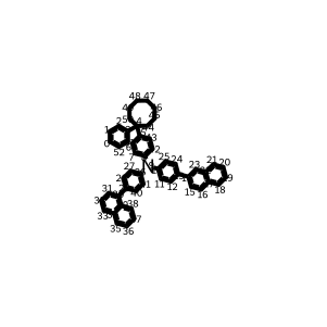 c1ccc(C2(c3ccc(N(c4ccc(-c5ccc6ccccc6c5)cc4)c4ccc(-c5cccc6ccccc56)cc4)cc3)CCCCCCC2)cc1